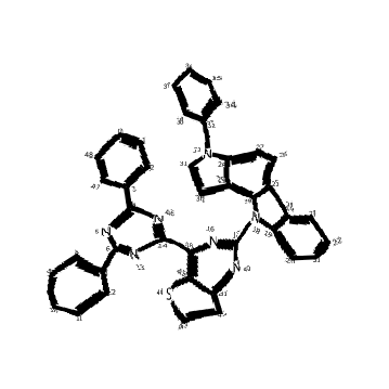 c1ccc(-c2nc(-c3ccccc3)nc(-c3nc(-n4c5ccccc5c5ccc6c(ccn6-c6ccccc6)c54)nc4ccsc34)n2)cc1